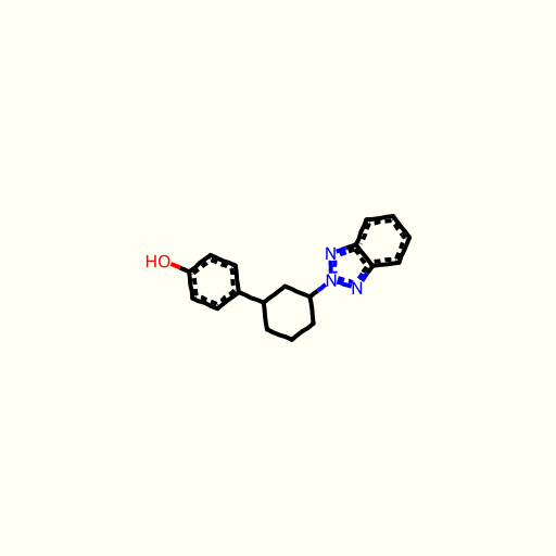 Oc1ccc(C2CCCC(n3nc4ccccc4n3)C2)cc1